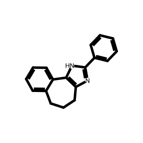 c1ccc(-c2nc3c([nH]2)-c2ccccc2CCC3)cc1